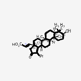 CC(C)C1=C2[C@H]3CC[C@@H]4[C@@]5(C)CC[C@H](O)C(C)(C)[C@@H]5CC[C@@]4(C)[C@]3(C)CC[C@@]2(/C=C/C(=O)O)CC1=O